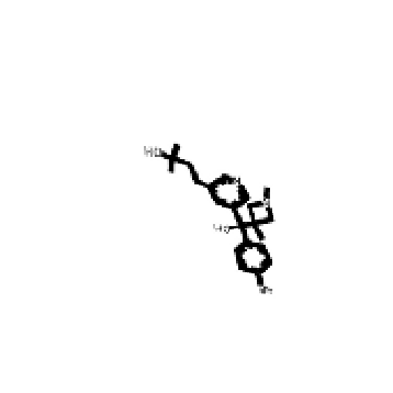 CC(C)c1ccc([C@](O)(c2cncc(CCC(C)(C)O)c2)C2(C)CN(C)C2)cc1